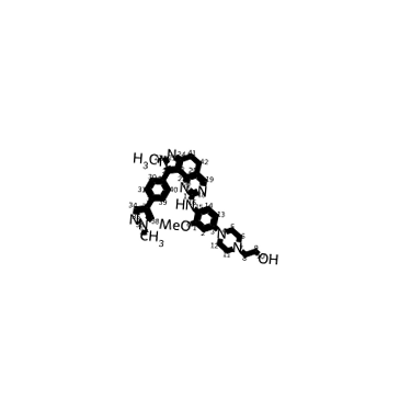 COc1cc(N2CCN(CCO)CC2)ccc1Nc1ncc2c(n1)-c1c(nn(C)c1-c1ccc(-c3cnn(C)c3)cc1)CC2